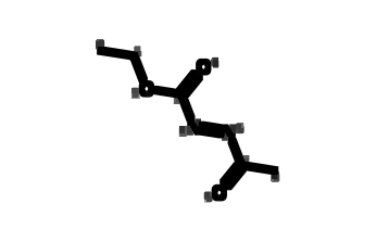 CCOC(=O)N=NC(C)=O